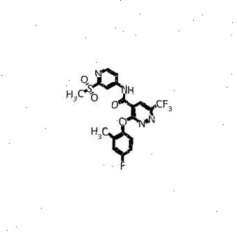 Cc1cc(F)ccc1Oc1nnc(C(F)(F)F)cc1C(=O)Nc1ccnc(S(C)(=O)=O)c1